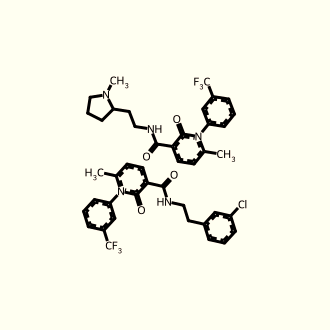 Cc1ccc(C(=O)NCCC2CCCN2C)c(=O)n1-c1cccc(C(F)(F)F)c1.Cc1ccc(C(=O)NCCc2cccc(Cl)c2)c(=O)n1-c1cccc(C(F)(F)F)c1